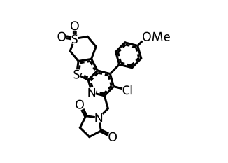 COc1ccc(-c2c(Cl)c(CN3C(=O)CCC3=O)nc3sc4c(c23)CCS(=O)(=O)C4)cc1